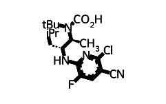 CC(C)C[C@@H](Nc1nc(Cl)c(C#N)cc1F)[C@H](C)N(C(=O)O)C(C)(C)C